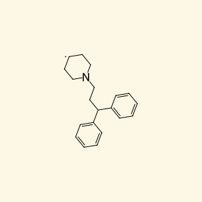 [CH]1CCN(CCC(c2ccccc2)c2ccccc2)CC1